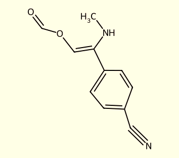 CN/C(=C\OC=O)c1ccc(C#N)cc1